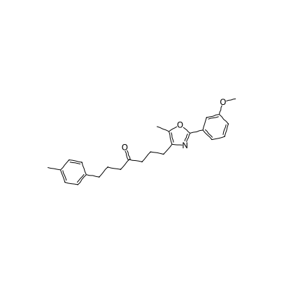 COc1cccc(-c2nc(CCCC(=O)CCCc3ccc(C)cc3)c(C)o2)c1